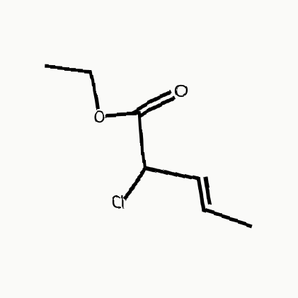 CC=CC(Cl)C(=O)OCC